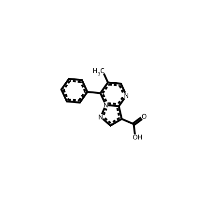 Cc1cnc2c(C(=O)O)cnn2c1-c1ccccc1